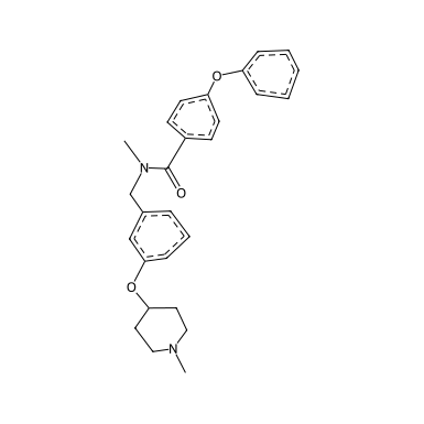 CN1CCC(Oc2cccc(CN(C)C(=O)c3ccc(Oc4ccccc4)cc3)c2)CC1